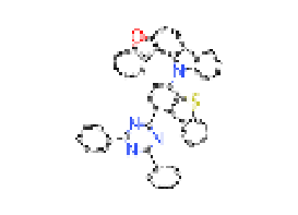 c1ccc(-c2nc(-c3ccccc3)nc(-c3ccc(-n4c5ccccc5c5ccc6oc7ccccc7c6c54)c4sc5ccccc5c34)n2)cc1